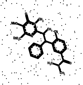 CCOC(=O)c1nc(C(C)C(c2ccccc2)c2cc(C(=O)N(C)C)ccc2C#N)n(C)c(=O)c1OC